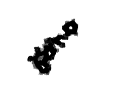 O=C(COc1ccccc1)Nc1cnc2c(c1)C(=O)C(=O)c1cccnc1-2